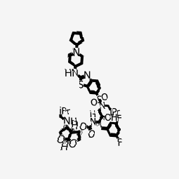 CC(C)CN[C@H]1CO[C@@H]2OC[C@H](OC(=O)N[C@@H](Cc3cc(F)cc(F)c3)[C@H](O)CN(CC(C)C)S(=O)(=O)c3ccc4nc(NC5CCN(C6CCCC6)CC5)sc4c3)[C@@H]21